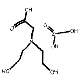 O=C(O)CN(CCO)CCO.[O]=[Zr]([OH])[OH]